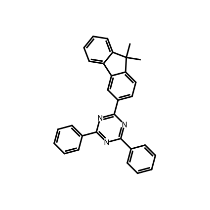 CC1(C)c2ccccc2-c2cc(-c3nc(-c4ccccc4)nc(-c4ccccc4)n3)ccc21